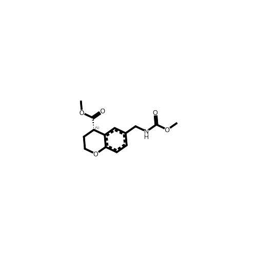 COC(=O)NCc1ccc2c(c1)[C@@H](C(=O)OC)CCO2